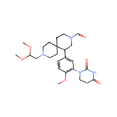 COc1ccc(C2CN(C=O)CCC23CCN(CC(OC)OC)CC3)cc1N1CCC(=O)NC1=O